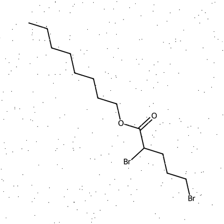 CCCCCCCCOC(=O)C(Br)CCCBr